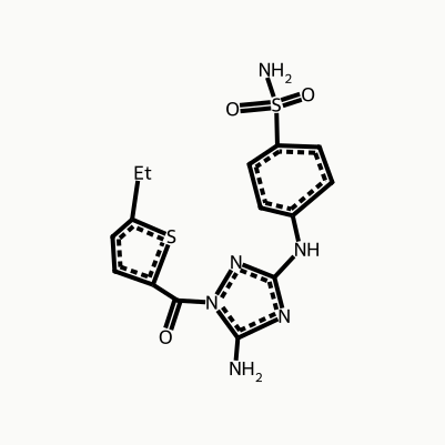 CCc1ccc(C(=O)n2nc(Nc3ccc(S(N)(=O)=O)cc3)nc2N)s1